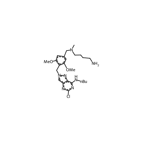 CCCCNc1nc(Cl)nc2cn(Cc3c(OC)cc(CN(C)CCCCN)cc3OC)nc12